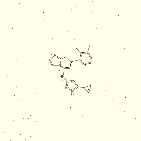 Cc1cccc(N2C=C(Nc3cc(C4CC4)[nH]n3)[N+]3C=CN=C3C2)c1C